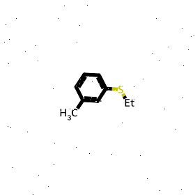 CCSc1[c]c(C)ccc1